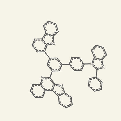 c1ccc(-c2nc3ccccc3n2-c2ccc(-c3cc(-c4cccc5c4oc4ccccc45)cc(-c4nc5ccccc5c5c4sc4ccccc45)c3)cc2)cc1